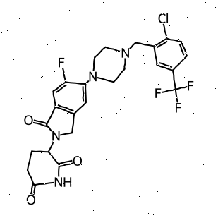 O=C1CCC(N2Cc3cc(N4CCN(Cc5cc(C(F)(F)F)ccc5Cl)CC4)c(F)cc3C2=O)C(=O)N1